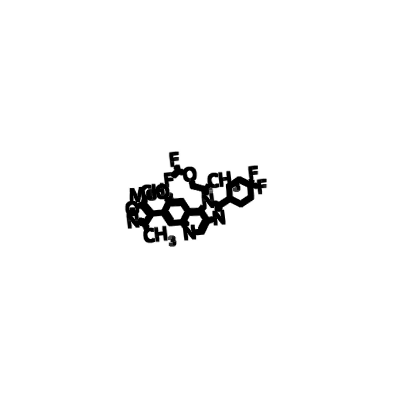 COc1cc2c(cc1-c1c(C)noc1C)ncc1nc(C3CCC(F)(F)CC3)n([C@H](C)COC(F)F)c12